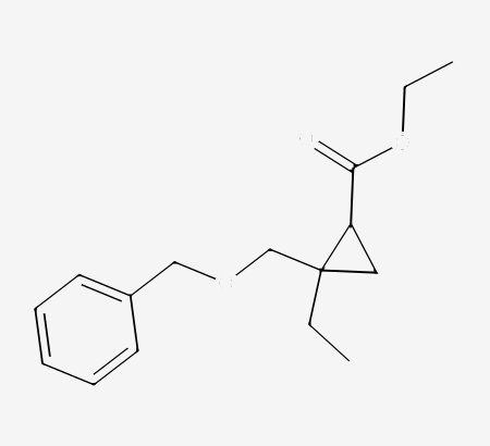 CCOC(=O)C1CC1(CC)COCc1ccccc1